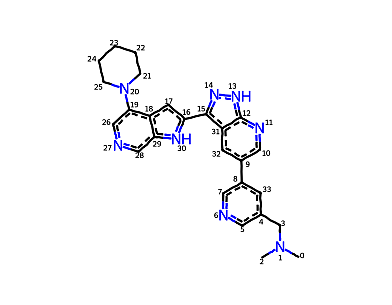 CN(C)Cc1cncc(-c2cnc3[nH]nc(-c4cc5c(N6CCCCC6)cncc5[nH]4)c3c2)c1